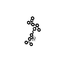 CCC1(CC)c2cc(/C=C/C3=CC=C(c4c(-c5ccccc5)cccc4-c4ccc5c(c4)C4(Cc6ccccc6C4)c4ccccc4-5)CC3)ccc2-c2ccc(N(c3ccccc3)c3ccccc3)cc21